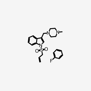 C=CCS(=O)(=O)n1cc(CN2CCN(C)CC2)c2ccccc21.Fc1ccccc1